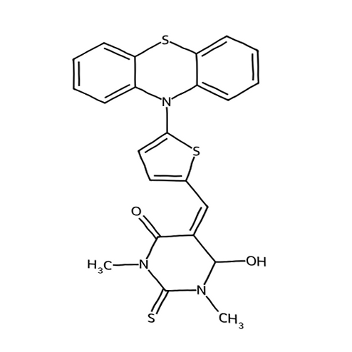 CN1C(=O)/C(=C\c2ccc(N3c4ccccc4Sc4ccccc43)s2)C(O)N(C)C1=S